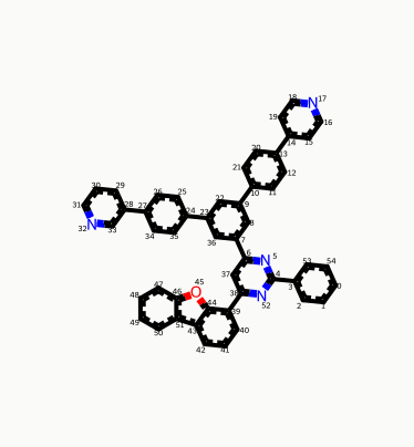 c1ccc(-c2nc(-c3cc(-c4ccc(-c5ccncc5)cc4)cc(-c4ccc(-c5cccnc5)cc4)c3)cc(-c3cccc4c3oc3ccccc34)n2)cc1